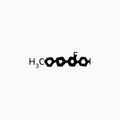 CC1CCC(c2ccc(-c3ccc(C4CCC(I)CC4)c(F)c3)cc2)CC1